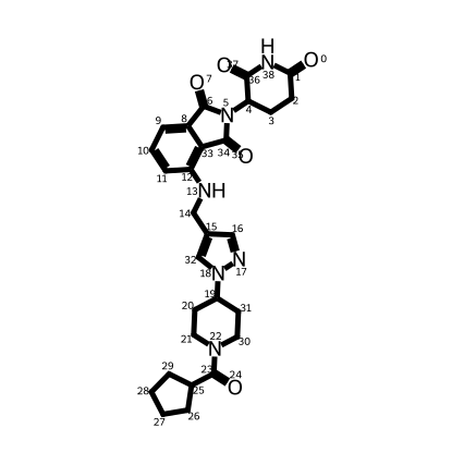 O=C1CCC(N2C(=O)c3cccc(NCc4cnn(C5CCN(C(=O)C6CCCC6)CC5)c4)c3C2=O)C(=O)N1